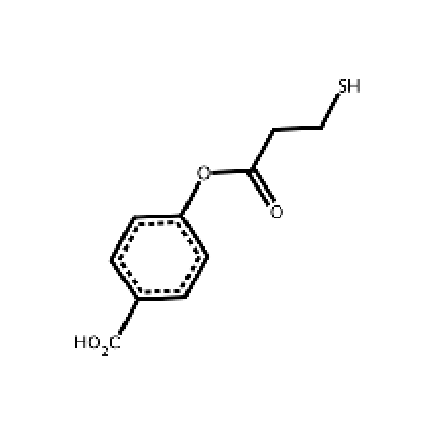 O=C(CCS)Oc1ccc(C(=O)O)cc1